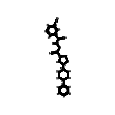 O=C(NCC(=O)N1CCC(N2CCC(c3ccccc3)CC2)C1)c1cc(Cl)ccn1